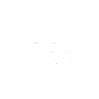 CCCCCCCCCC(C)(C)c1cccc(C(=O)[O-])c1O.CCCCCCCCCC(C)(C)c1cccc(C(=O)[O-])c1O.[Zn+2]